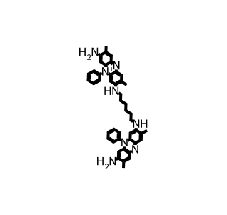 CC1=CC2=Nc3cc(C)c(N)cc3N(c3ccccc3)C2C=C1NCCCCCCNc1cc2c(cc1C)nc1cc(C)c(N)cc1[n+]2-c1ccccc1